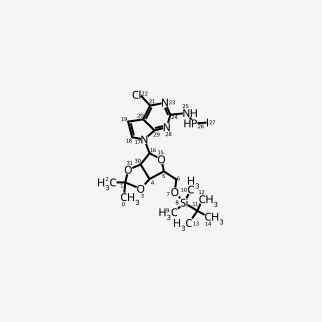 CC1(C)OC2C(CO[Si](C)(C)C(C)(C)C)OC(n3ccc4c(Cl)nc(NPI)nc43)C2O1